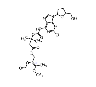 CO/C(C)=C(/COC(=O)CC(C)(C)OC(=O)Nc1nc(Cl)nc2c1ncn2C1CCC(CO)O1)OC=O